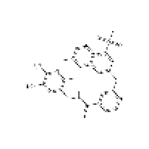 Cc1cnc2c(S(C)(=O)=O)cc(Cc3cc(C(=O)NCc4cc(C#N)c(N)nc4C)ccn3)cc2c1